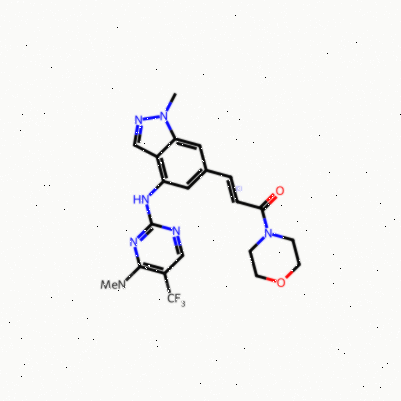 CNc1nc(Nc2cc(/C=C/C(=O)N3CCOCC3)cc3c2cnn3C)ncc1C(F)(F)F